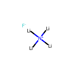 [F-].[Li][N+]([Li])([Li])[Li]